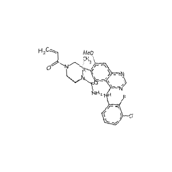 C=CC(=O)N1CCN(C(N)=O)[C@](C)(c2cc3c(Nc4cccc(Cl)c4F)ncnc3cc2OC)C1